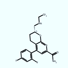 NC(=O)c1cc(-c2ccc(F)cc2F)c2c(n1)O[C@@H](CNCC(F)(F)F)CC2